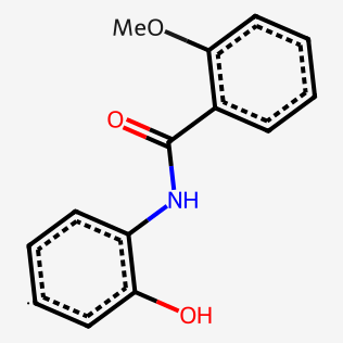 COc1ccccc1C(=O)Nc1cc[c]cc1O